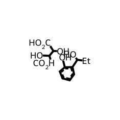 CCC(O)c1ccccc1O.O=C(O)C(O)C(O)C(=O)O